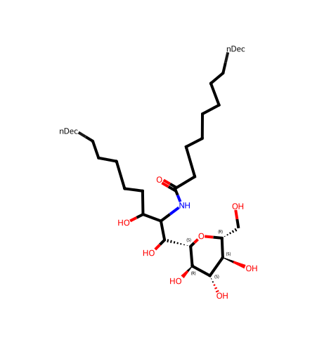 CCCCCCCCCCCCCCCCCC(=O)NC(C(O)CCCCCCCCCCCCCCC)C(O)[C@@H]1O[C@H](CO)[C@@H](O)[C@H](O)[C@H]1O